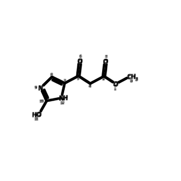 COC(=O)CC(=O)c1cnc(O)[nH]1